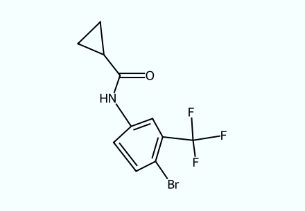 O=C(Nc1ccc(Br)c(C(F)(F)F)c1)C1CC1